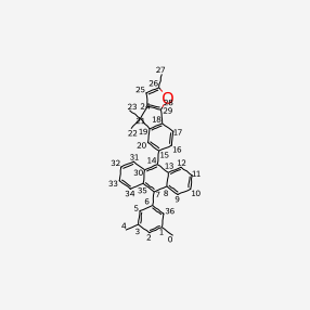 Cc1cc(C)cc(-c2c3ccccc3c(-c3ccc4c(c3)C(C)(C)c3cc(C)oc3-4)c3ccccc23)c1